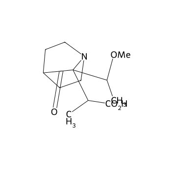 COC(C)C1(C(C)C(=O)O)C(=O)C2CCN1CC2